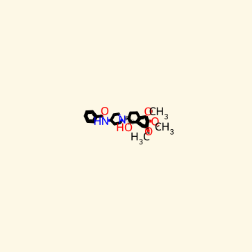 COc1cc2c(c(OC)c1OC)CC[C@@H](N1CCC(NC(=O)c3ccccc3)CC1)[C@@H]2O